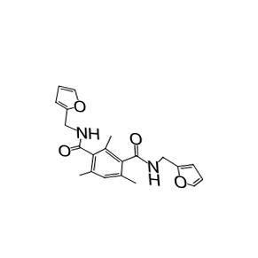 Cc1cc(C)c(C(=O)NCc2ccco2)c(C)c1C(=O)NCc1ccco1